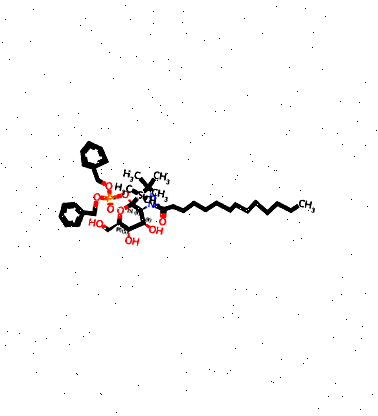 CCCCCCCCCCCCCC(=O)N[C@@H]1[C@@H](O)[C@H](O)[C@@H](CO)O[C@@]1(OP(=O)(OCc1ccccc1)OCc1ccccc1)[Si](C)(C)C(C)(C)C